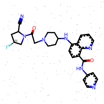 N#CC1C[C@H](F)CN1C(=O)CN1CCC(Nc2ccc(C(=O)Nc3ccncc3)c3ncccc23)CC1